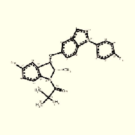 C[C@H]1[C@H](Oc2ccc3c(cnn3-c3ccc(F)cc3)c2)c2cc(F)ccc2N1C(=O)C(C)(C)C